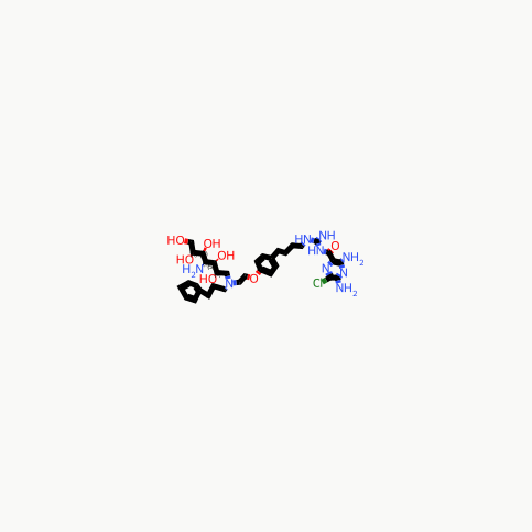 N=C(NCCCCc1ccc(OCCN(CCCc2ccccc2)C[C@H](O)[C@@H](O)[C@H](N)[C@H](O)[C@H](O)CO)cc1)NC(=O)c1nc(Cl)c(N)nc1N